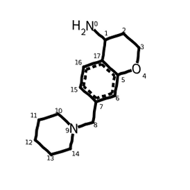 NC1CCOc2cc(CN3CCCCC3)ccc21